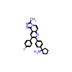 Cc1nnc2c3cc(-c4ccc(F)cc4)c(-c4ccc(C5(N)CCCC5)cc4)nc3ccn12